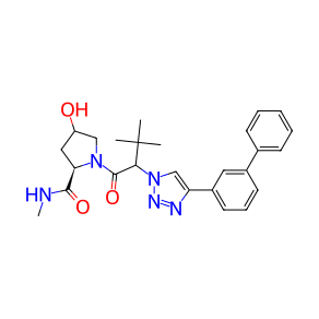 CNC(=O)[C@H]1CC(O)CN1C(=O)C(n1cc(-c2cccc(-c3ccccc3)c2)nn1)C(C)(C)C